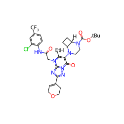 CCc1c(N2CCN(C(=O)OC(C)(C)C)[C@H]3CC[C@@H]32)c(=O)n2nc(C3=CCOCC3)nc2n1CC(=O)Nc1ccc(C(F)(F)F)cc1Cl